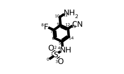 CS(=O)(=O)Nc1cc(F)c(CN)c(C#N)c1